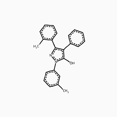 Cc1cccc(-n2nc(-c3ccccc3C)c(-c3ccccc3)c2O)c1